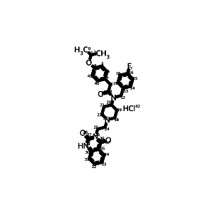 CC(C)Oc1ccc(CC(=O)N(Cc2ccc(F)cc2)C2CCN(CCn3c(=O)[nH]c4ccccc4c3=O)CC2)cc1.Cl